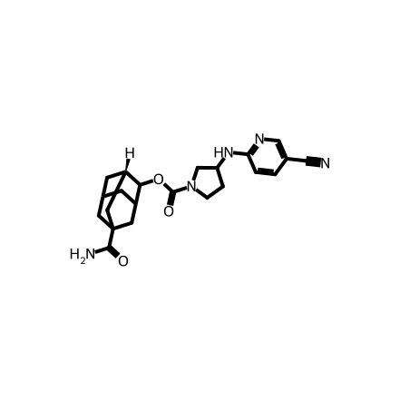 N#Cc1ccc(NC2CCN(C(=O)OC3C4CC5C[C@H]3CC(C(N)=O)(C5)C4)C2)nc1